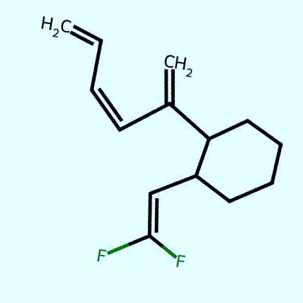 C=C/C=C\C(=C)C1CCCCC1C=C(F)F